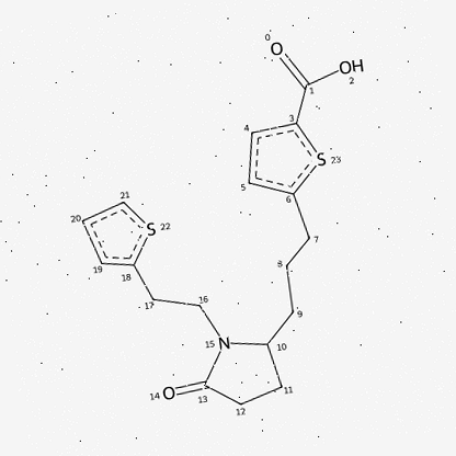 O=C(O)c1ccc(CCCC2CCC(=O)N2CCc2cccs2)s1